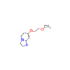 COCCOC1=CC2=NCCN2CC1